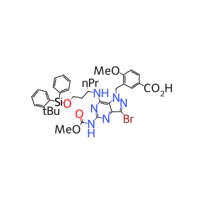 CCC[C@@H](CCO[Si](c1ccccc1)(c1ccccc1)C(C)(C)C)Nc1nc(NC(=O)OC)nc2c(Br)nn(Cc3cc(C(=O)O)ccc3OC)c12